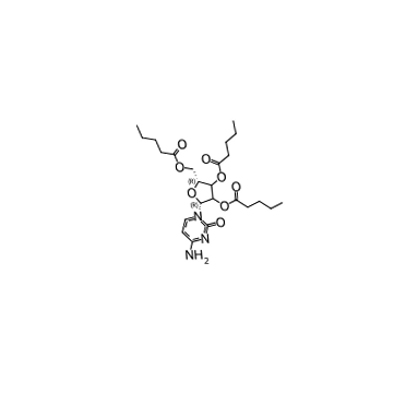 CCCCC(=O)OC[C@H]1O[C@@H](n2ccc(N)nc2=O)C(OC(=O)CCCC)C1OC(=O)CCCC